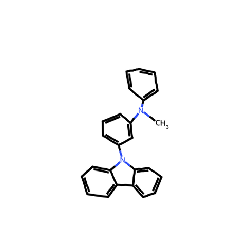 CN(c1ccccc1)c1cccc(-n2c3ccccc3c3ccccc32)c1